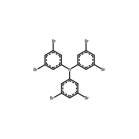 Brc1cc(Br)cc(N(c2cc(Br)cc(Br)c2)c2cc(Br)cc(Br)c2)c1